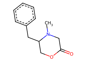 CN1CC(=O)OCC1Cc1ccccc1